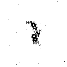 Cc1nc2c(nc1NC(=O)Cc1ccc(O)cc1)CCc1cc(N)ccc1-2